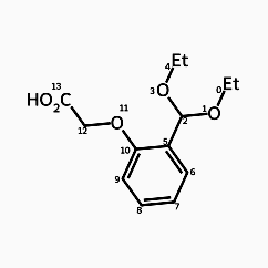 CCOC(OCC)c1ccccc1OCC(=O)O